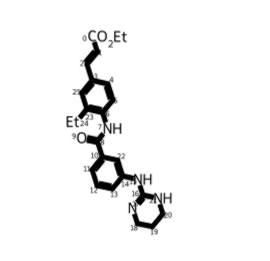 CCOC(=O)C=Cc1ccc(NC(=O)c2cccc(NC3=NCCCN3)c2)c(CC)c1